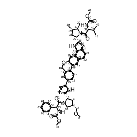 COC[C@H]1C[C@@H](c2ncc(-c3ccc4c(c3)COc3cc5c(ccc6nc([C@@H]7C[C@@H](C)[C@@H](C)N7C(=O)[C@@H](NC(=O)OC)C(C)C)[nH]c65)cc3-4)[nH]2)N(C(=O)C(NC(=O)OC)c2ccccc2)C1